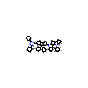 c1ccc(-c2nc(-c3ccccc3)nc(-c3ccc4c(c3)C(c3ccccc3)(c3ccccc3)c3cc(-n5c6ccccc6c6c5ccc5c7ccccc7n(-c7ccccc7)c56)ccc3-4)n2)cc1